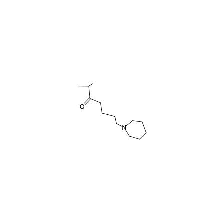 CC(C)C(=O)CCCCN1CCCCC1